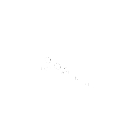 COc1ccccc1-c1ccc(S(=O)(=O)N2CCC(N3CCC(C)CC3)CC2)cc1